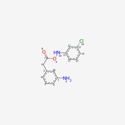 Nc1cccc(CC(=O)ONc2cccc(Cl)c2)c1